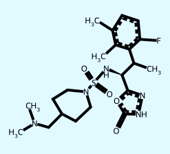 Cc1ccc(F)c(C(C)[C@H](NS(=O)(=O)N2CCC(CN(C)C)CC2)c2n[nH]c(=O)o2)c1C